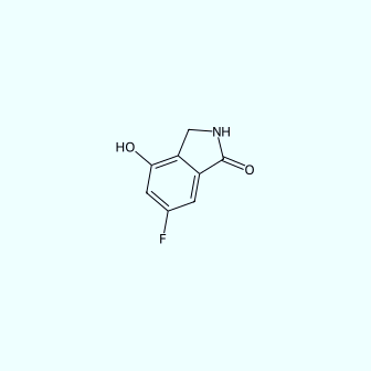 O=C1NCc2c(O)cc(F)cc21